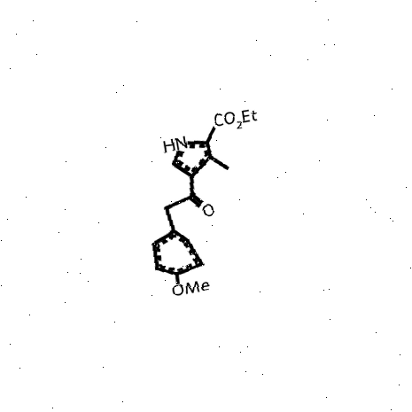 CCOC(=O)c1[nH]cc(C(=O)Cc2ccc(OC)cc2)c1C